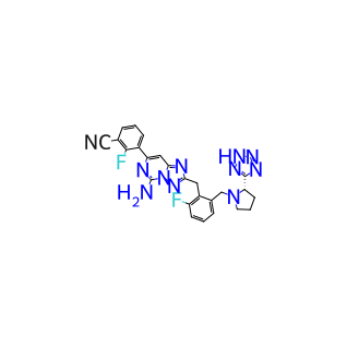 N#Cc1cccc(-c2cc3nc(Cc4c(F)cccc4CN4CCC[C@H]4c4nn[nH]n4)nn3c(N)n2)c1F